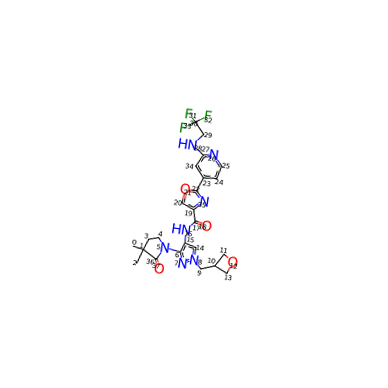 CC1(C)CCN(c2nn(CC3COC3)cc2NC(=O)c2coc(-c3ccnc(NCC(F)(F)F)c3)n2)C1=O